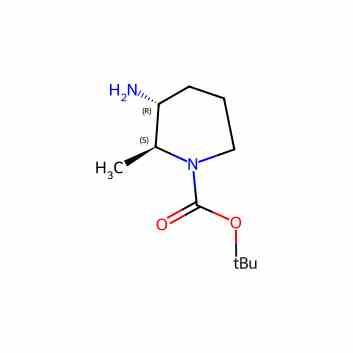 C[C@H]1[C@H](N)CCCN1C(=O)OC(C)(C)C